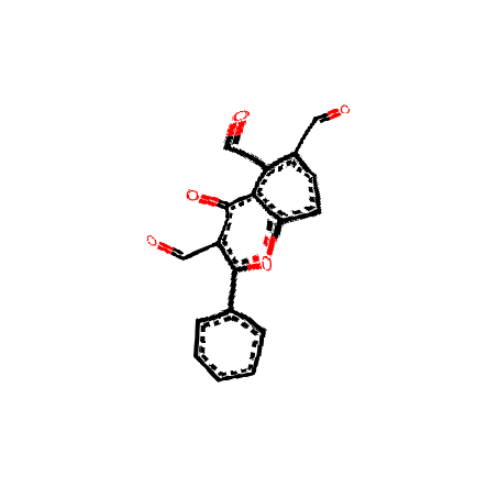 O=Cc1ccc2oc(-c3ccccc3)c(C=O)c(=O)c2c1C=O